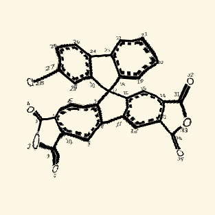 O=C1OC(=O)c2cc3c(cc21)-c1cc2c(cc1C31c3ccccc3-c3ccc(Cl)cc31)C(=O)OC2=O